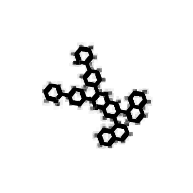 c1ccc(-c2ccc(-c3nc4cc(-c5cccc6ccccc56)c(-c5cccc6ccccc56)cc4nc3-c3ccc(-c4ccccn4)cc3)cc2)nc1